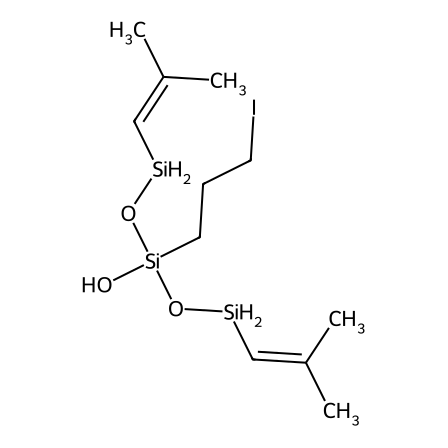 CC(C)=C[SiH2]O[Si](O)(CCCI)O[SiH2]C=C(C)C